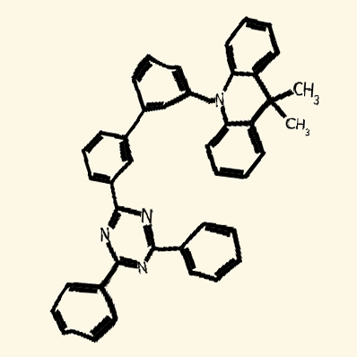 CC1(C)c2ccccc2N(c2cccc(-c3cccc(-c4nc(-c5ccccc5)nc(-c5ccccc5)n4)c3)c2)c2ccccc21